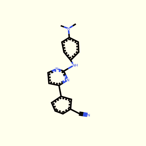 CN(C)c1ccc(Nc2nccc(-c3cccc(C#N)c3)n2)cc1